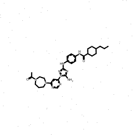 CCCC1CCC(C(=O)Nc2ccc(Nc3nc(N)n(-c4cc(N5CCCN(C(C)=O)CC5)ncn4)n3)cc2)CC1